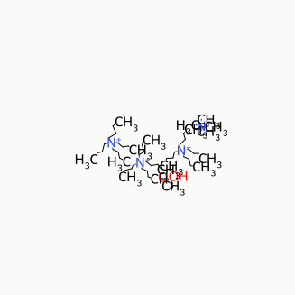 CC(=O)O.CCCC[N+](CCCC)(CCCC)CCCC.CCCC[N+](CCCC)(CCCC)CCCC.CCCC[N+](CCCC)(CCCC)CCCC.C[N+](C)(C)C